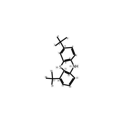 CC(C)(C)c1ccc2c(c1)Sc1c(cccc1C(C)(C)C)N2